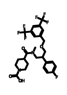 CN(CC(COCc1cc(C(F)(F)F)cc(C(F)(F)F)c1)c1ccc(F)cc1)C(=O)C1CCN(C(=O)O)CC1